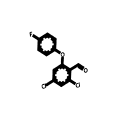 O=Cc1c(Cl)cc(Cl)cc1Oc1ccc(F)cc1